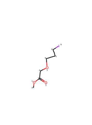 COC(=O)COCCCI